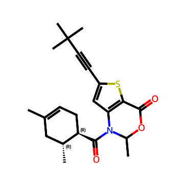 CC1=CC[C@@H](C(=O)N2c3cc(C#CC(C)(C)C)sc3C(=O)OC2C)[C@H](C)C1